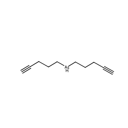 C#CCCC[AsH]CCCC#C